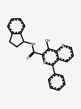 O=C(NC1CCc2ccccc21)c1nc(-c2ccccc2)c2cccnc2c1O